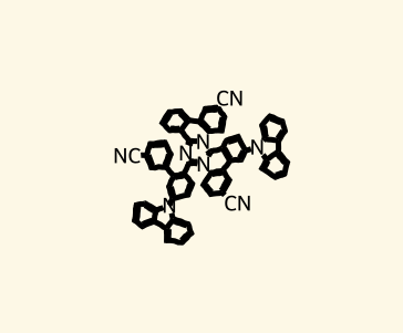 N#Cc1cccc(-c2ccccc2-c2nc(-c3ccc(-n4c5ccccc5c5ccccc54)cc3-c3cccc(C#N)c3)nc(-c3ccc(-n4c5ccccc5c5ccccc54)cc3-c3cccc(C#N)c3)n2)c1